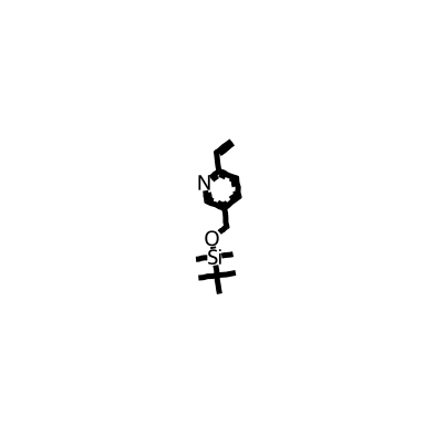 C=Cc1ccc(CO[Si](C)(C)C(C)(C)C)cn1